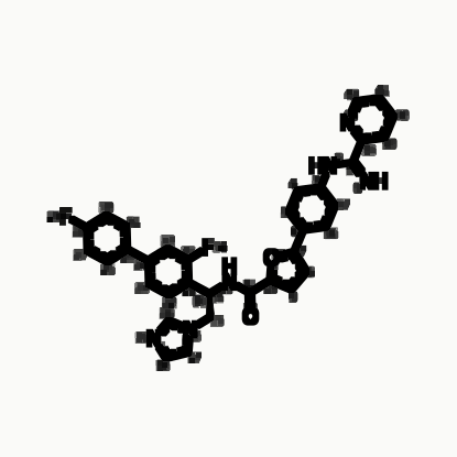 N=C(Nc1ccc(-c2ccc(C(=O)N[C@@H](Cn3ccnc3)c3ccc(-c4ccc(F)cc4)cc3F)o2)cc1)c1ccccn1